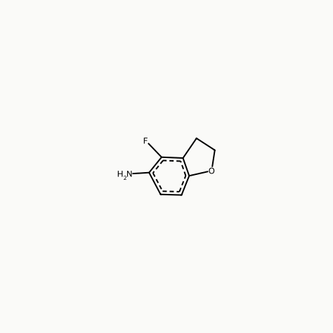 Nc1ccc2c(c1F)CCO2